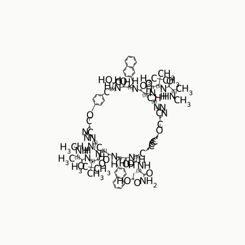 CN[C@@H](C)C(=O)N[C@H](C(=O)N1C[C@@H]2C[C@H]1C(=O)N[C@@H](Cc1ccc3ccccc3c1)C(=O)N[C@H](C(=O)O)Cc1ccc(cc1)OCc1cn(nn1)[C@@]1(N)C[C@@H](C(=O)N[C@@H](Cc3ccc4ccccc4c3)C(=O)N[C@H](C(=O)N[C@@H](CC(=O)O)C(N)=O)Cc3ccc(cc3)OCc3cn2nn3)N(C(=O)[C@@H](NC(=O)[C@H](C)NC)C(C)(C)C)C1)C(C)(C)C